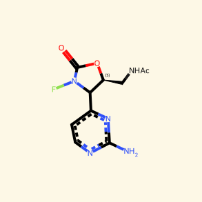 CC(=O)NC[C@@H]1OC(=O)N(F)C1c1ccnc(N)n1